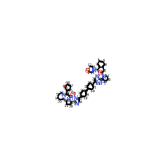 O=C(Cc1ccccc1CN1CCOCC1)N1CCC[C@H]1c1ncc(-c2ccc(-c3ccc(-c4cnc([C@@H]5CCCN5C(=O)[C@@H](c5ccccc5)N5CCCCC5)[nH]4)cc3)cc2)[nH]1